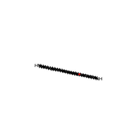 N=N/N=N/N=N/N=N/N=N/N=N/N=N/N=N/N=N/N=N/N=N/N=N/N=N/N=N/N=N/N=N/N=N/N=N/N=N/N=N/N=N/N=N/N=N/N=N/N=N